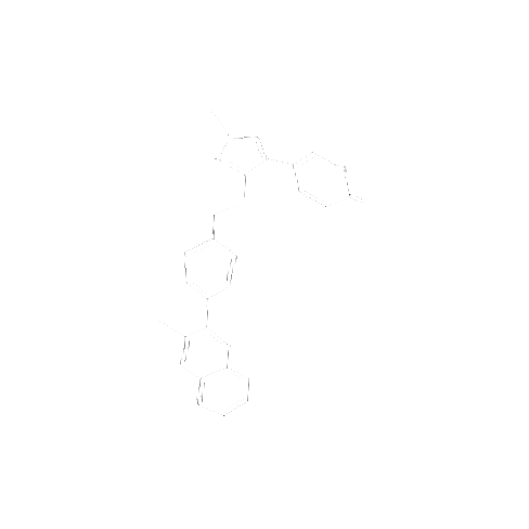 Cc1cc2ccccc2nc1-c1ccc(COc2nn(C)cc2-c2ccc(=O)[nH]c2)cc1